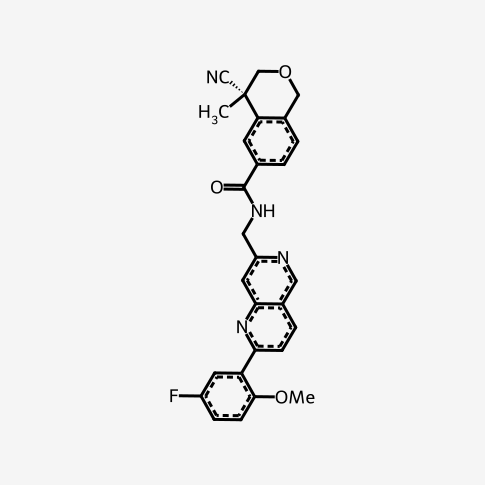 COc1ccc(F)cc1-c1ccc2cnc(CNC(=O)c3ccc4c(c3)[C@](C)(C#N)COC4)cc2n1